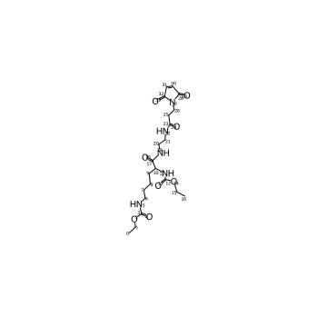 CCOC(=O)NCCCCC(NC(=O)OCC)C(=O)NCCNC(=O)CCN1C(=O)C=CC1=O